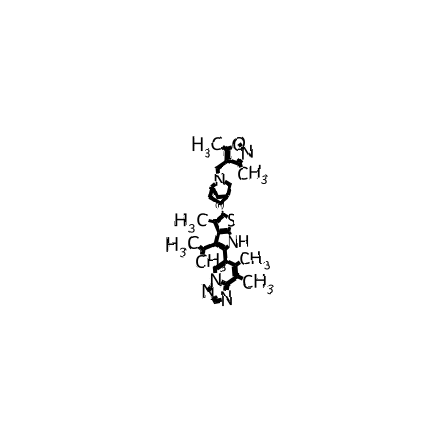 Cc1noc(C)c1CN1CC2CC1C[C@H]2c1sc2[nH]c(-c3cn4ncnc4c(C)c3C)c(C(C)C)c2c1C